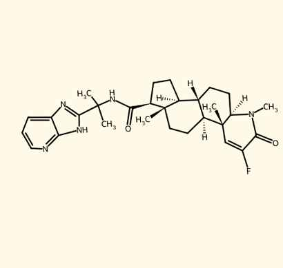 CN1C(=O)C(F)=C[C@]2(C)[C@H]3CC[C@]4(C)[C@@H](C(=O)NC(C)(C)c5nc6cccnc6[nH]5)CC[C@H]4[C@@H]3CC[C@@H]12